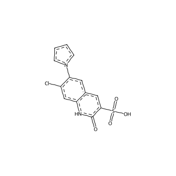 O=c1[nH]c2cc(Cl)c(-n3cccc3)cc2cc1S(=O)(=O)O